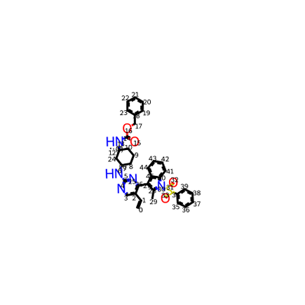 C=Cc1cnc(N[C@@H]2CCC[C@](C)(NC(=O)OCc3ccccc3)C2)nc1-c1c(C)n(S(=O)(=O)c2ccccc2)c2ccccc12